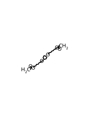 C=CC(=O)OCCCCCCOC[C@H]1CC[C@H](COCCCCCCOC(=O)C=C)CC1